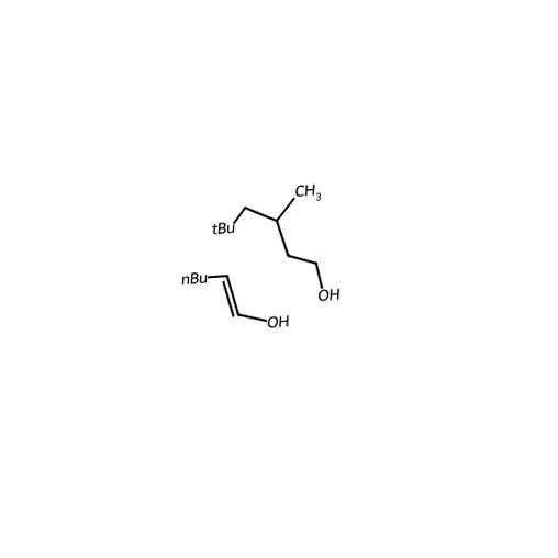 CC(CCO)CC(C)(C)C.CCCCC=CO